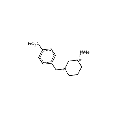 CN[C@@H]1CCCN(Cc2ccc(C(=O)O)cc2)C1